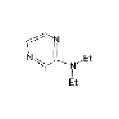 CCN(CC)c1[c]nccn1